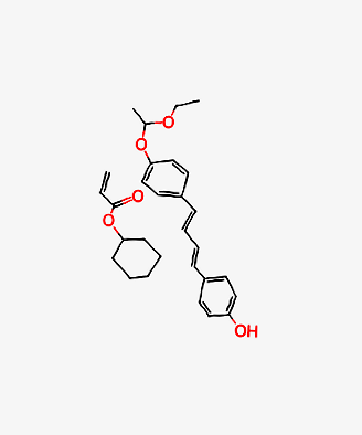 C=CC(=O)OC1CCCCC1.CCOC(C)Oc1ccc(C=CC=Cc2ccc(O)cc2)cc1